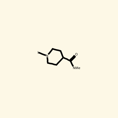 CNC(=O)C1CCN(I)CC1